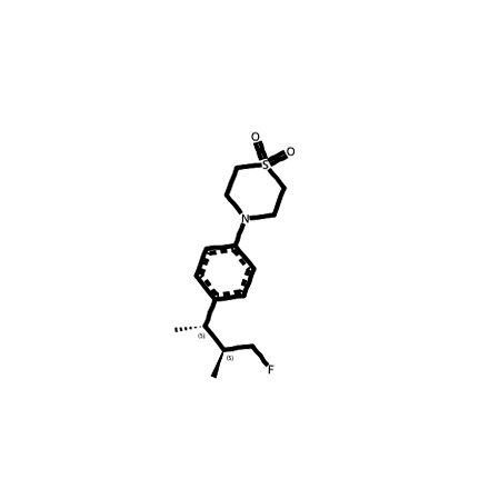 C[C@H](CF)[C@H](C)c1ccc(N2CCS(=O)(=O)CC2)cc1